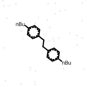 CCCCc1ccc(CCc2ccc(CCCC)cc2)cc1